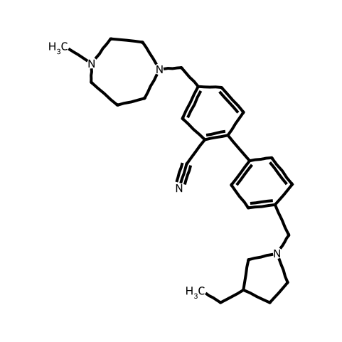 CCC1CCN(Cc2ccc(-c3ccc(CN4CCCN(C)CC4)cc3C#N)cc2)C1